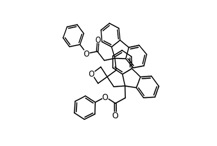 O=C(CC1(CC2(CC3(CC(=O)Oc4ccccc4)c4ccccc4-c4ccccc43)COC2)c2ccccc2-c2ccccc21)Oc1ccccc1